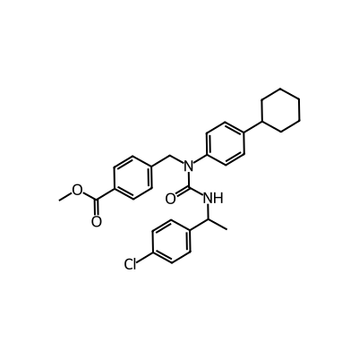 COC(=O)c1ccc(CN(C(=O)NC(C)c2ccc(Cl)cc2)c2ccc(C3CCCCC3)cc2)cc1